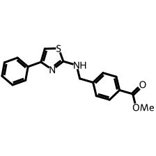 COC(=O)c1ccc(CNc2nc(-c3ccccc3)cs2)cc1